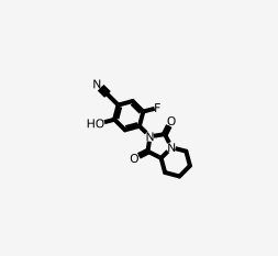 N#Cc1cc(F)c(N2C(=O)C3CCCCN3C2=O)cc1O